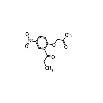 CCC(=O)c1cc([N+](=O)[O-])ccc1OCC(=O)O